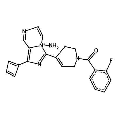 N[N+]12C=CN=CC1=C(C1=CC=C1)N=C2C1=CCN(C(=O)c2ccccc2F)CC1